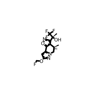 C[C@H]1Cn2nc(OCF)cc2-c2onc([C@@](C)(O)C(F)(F)F)c21